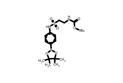 CC(C)(C)OC(=O)NCCS(=O)(=O)Nc1ccc(B2OC(C)(C)C(C)(C)O2)cc1